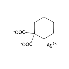 O=C([O-])C1(C(=O)[O-])CCCCC1.[Ag+2]